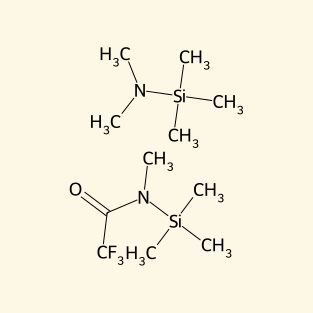 CN(C(=O)C(F)(F)F)[Si](C)(C)C.CN(C)[Si](C)(C)C